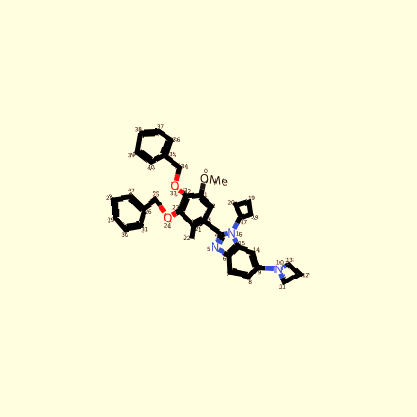 COc1cc(-c2nc3ccc(N4CCC4)cc3n2C2CCC2)c(C)c(OCc2ccccc2)c1OCc1ccccc1